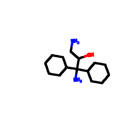 NCC(O)C(N)(C1CCCCC1)C1CCCCC1